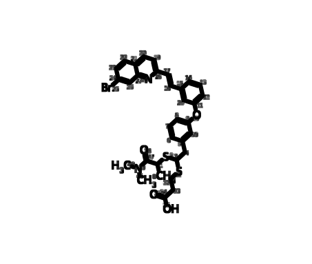 CC(SC(Cc1cccc(Oc2cccc(C=Cc3ccc4ccc(Br)cc4n3)c2)c1)SCCC(=O)O)C(=O)N(C)C